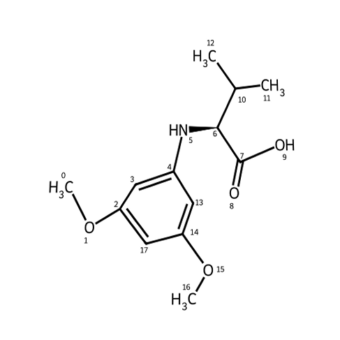 COc1cc(N[C@H](C(=O)O)C(C)C)cc(OC)c1